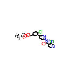 COOCc1ccc(Cl)c(-c2ccc(NC(=O)c3ccncc3Cl)nc2)c1